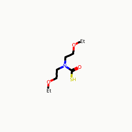 CCOCCN(CCOCC)C(=O)S